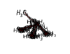 CCCCCCCCCCCCCCCC(=O)NCCCC[C@@H](NC(=O)[C@H](CCCCNC(=O)COCCOCCOCCO[C@@H]1O[C@H](CO)[C@H](O)[C@H](O)[C@H]1NC(C)=O)NC(=O)[C@H](CCCCNC(=O)COCCOCCOCCO[C@@H]1O[C@H](CO)[C@H](O)[C@H](O)[C@H]1NC(C)=O)NC(=O)COCCOCCOCCO[C@@H]1O[C@H](CO)[C@H](O)[C@H](O)[C@H]1NC(C)=O)C(C)=O